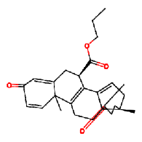 CCCOC(=O)[C@@H]1CC2=CC(=O)C=CC2(C)C2=C1C1=CC[C@@]3(C)CCC(=O)C13CC2